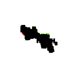 Cc1ccc(C)c(C2(c3ccc(Oc4ccc5c(c4)CC5)cc3)c3ccccc3-c3ccc(N(c4ccc(-c5ccc(N(c6ccc7c(c6)C(c6ccc(Oc8ccc9c(c8)CC9)cc6)(c6cc(C)ccc6C)c6ccccc6-7)c6ccc(F)cc6F)cc5)cc4)c4ccc(F)cc4F)cc32)c1